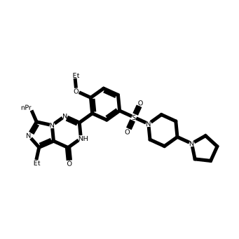 CCCc1nc(CC)c2c(=O)[nH]c(-c3cc(S(=O)(=O)N4CCC(N5CCCC5)CC4)ccc3OCC)nn12